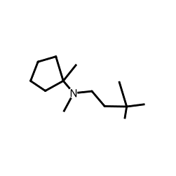 CN(CCC(C)(C)C)C1(C)CCCC1